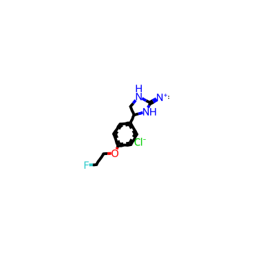 [Cl-].[N+]=C1NCC(c2ccc(OCCF)cc2)N1